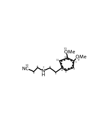 COc1ccc(CCNCCC#N)cc1OC